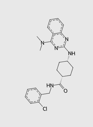 CN(C)c1nc(N[C@H]2CC[C@@H](C(=O)NCc3ccccc3Cl)CC2)nc2ccccc12